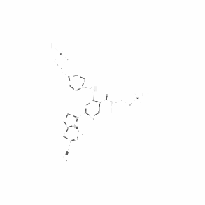 CC(C)(O)[C@H](F)CNC(=O)c1cnc(-c2ccc3cc(C#N)cnn23)cc1Nc1ccc(CN2CC(F)(F)C2)cc1